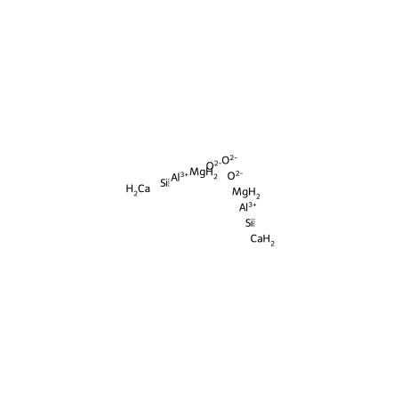 [Al+3].[Al+3].[CaH2].[CaH2].[MgH2].[MgH2].[O-2].[O-2].[O-2].[Si].[Si]